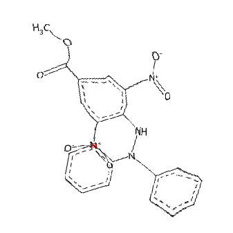 COC(=O)c1cc([N+](=O)[O-])c(NN(c2ccccc2)c2ccccc2)c([N+](=O)[O-])c1